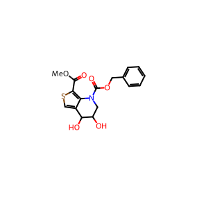 COC(=O)c1scc2c1N(C(=O)OCc1ccccc1)CC(O)C2O